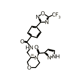 O=C(NC[C@@H]1COCCN1C(=O)c1cc[nH]n1)c1ccc(-c2noc(C(F)(F)F)n2)cc1